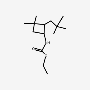 CCOC(=O)NC1CC(C)(C)C1CC(C)(C)C